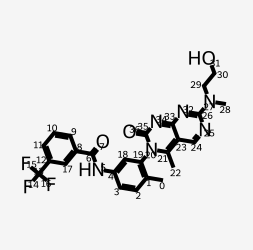 Cc1ccc(NC(=O)c2cccc(C(F)(F)F)c2)cc1-n1c(C)c2cnc(N(C)CCO)nc2nc1=O